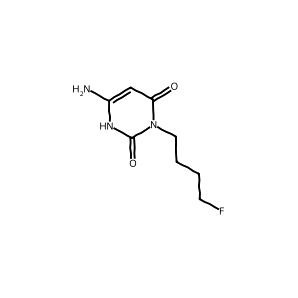 Nc1cc(=O)n(CCCCF)c(=O)[nH]1